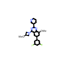 COc1cc(-c2cc(F)cc(F)c2)cc2c(N3CC(OC)C3)nc(-c3cccnc3)nc12